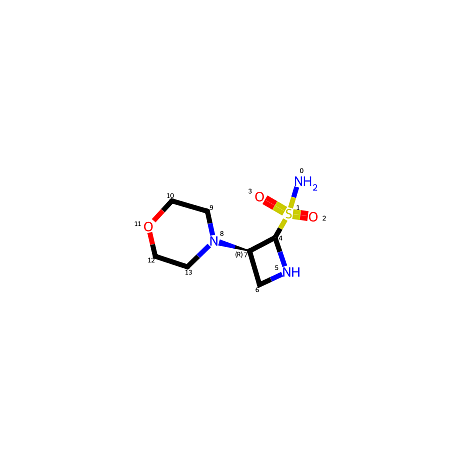 NS(=O)(=O)C1NC[C@H]1N1CCOCC1